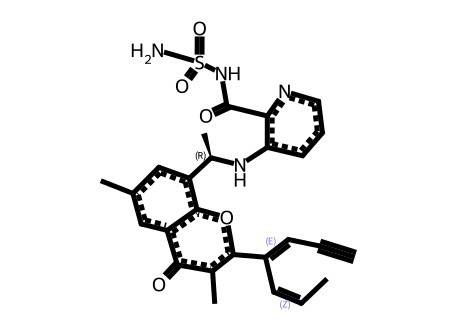 C#C/C=C(\C=C/C)c1oc2c([C@@H](C)Nc3cccnc3C(=O)NS(N)(=O)=O)cc(C)cc2c(=O)c1C